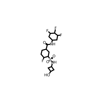 O=C(NC1CC(F)C(F)C(F)C1)C1CCC(F)C(S(=O)(=O)NC2CC(O)C2)C1